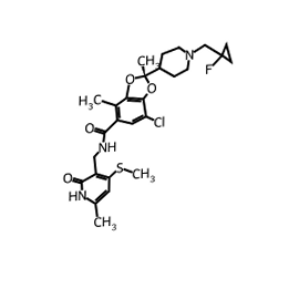 CSc1cc(C)[nH]c(=O)c1CNC(=O)c1cc(Cl)c2c(c1C)O[C@](C)(C1CCN(CC3(F)CC3)CC1)O2